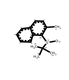 Cc1ccc2ccccc2c1[S+]([O-])C(C)(C)C